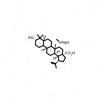 C=C(C)[C@@H]1CC[C@]2(C(=O)O)CC[C@]3(C)[C@H](CC[C@@H]4[C@@]5(C)CC[C@H](O)C(C)(C)[C@@H]5CC[C@]43C)[C@@H]12.CCCCCCCC